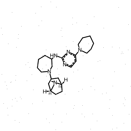 CN1[C@@H]2CC[C@H]1CC(N1CCCCC(Nc3nccc(N4CCCCCC4)n3)C1)C2